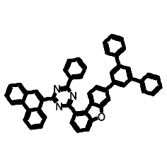 c1ccc(-c2cc(-c3ccccc3)cc(-c3ccc4c(c3)oc3cccc(-c5nc(-c6ccccc6)nc(-c6cc7ccccc7c7ccccc67)n5)c34)c2)cc1